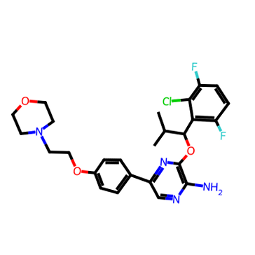 CC(C)C(Oc1nc(-c2ccc(OCCN3CCOCC3)cc2)cnc1N)c1c(F)ccc(F)c1Cl